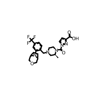 C[C@H]1CN(Cc2ccc(C(F)(F)F)cc2N2C3CCC2COC3)CCN1C(=O)n1ccc(C(=O)O)n1